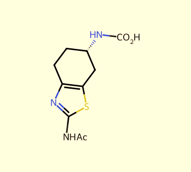 CC(=O)Nc1nc2c(s1)C[C@@H](NC(=O)O)CC2